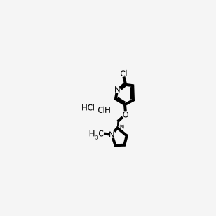 CN1CCC[C@@H]1COc1ccc(Cl)nc1.Cl.Cl